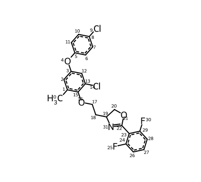 Cc1cc(Oc2ccc(Cl)cc2)cc(Cl)c1OCCC1COC(c2c(F)cccc2F)=N1